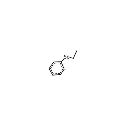 CC[Se]c1[c]cccc1